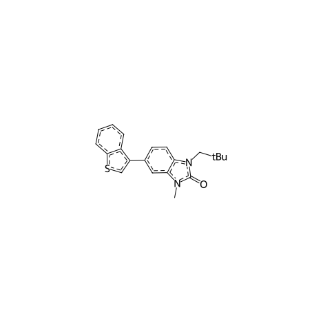 Cn1c(=O)n(CC(C)(C)C)c2ccc(-c3csc4ccccc34)cc21